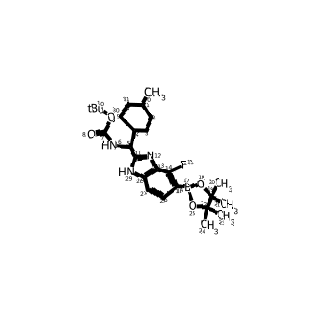 CC1CCC(C(NC(=O)OC(C)(C)C)c2nc3c(F)c(B4OC(C)(C)C(C)(C)O4)ccc3[nH]2)CC1